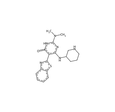 CN(C)c1nc(NC2CCCNC2)c(-c2nc3ccccc3s2)c(=O)[nH]1